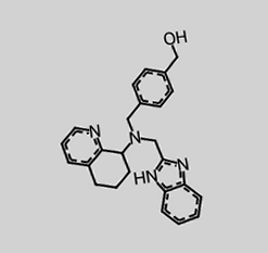 OCc1ccc(CN(Cc2nc3ccccc3[nH]2)C2CCCc3cccnc32)cc1